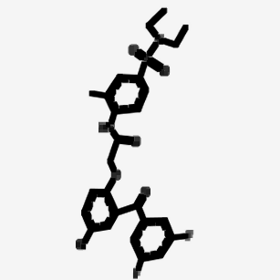 CCN(CC)S(=O)(=O)c1ccc(NC(=O)COc2ccc(Cl)cc2C(=O)c2cc(F)cc(F)c2)c(C)c1